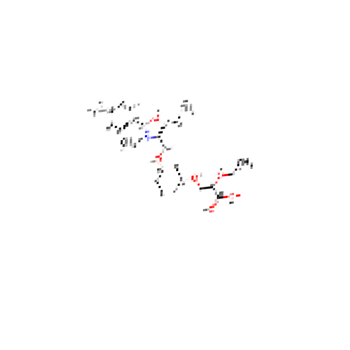 CCOC(CO[C@@H]1CCC[C@H](OCc2nc(-c3ccc(C)cc3C)oc2CC)C1)C(=O)O